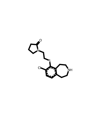 O=C1CCCN1CCSc1c(Cl)ccc2c1CCNCC2